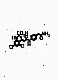 NC(=O)Cc1ccc(NC(=O)/C=C2\CC(C(=O)O)Nc3cc(Cl)cc(Cl)c32)cc1